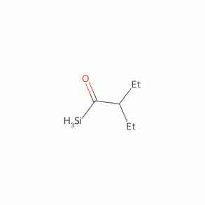 CCC(CC)C(=O)[SiH3]